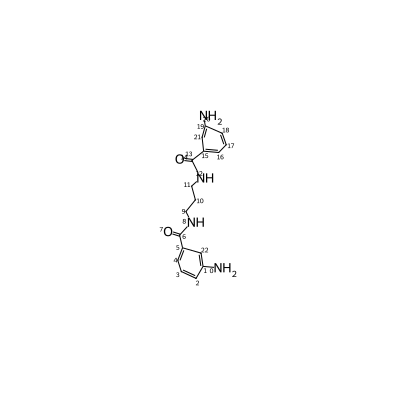 Nc1cccc(C(=O)NCCCNC(=O)c2cccc(N)c2)c1